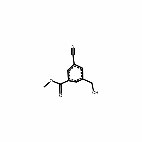 COC(=O)c1cc(C#N)cc(CO)c1